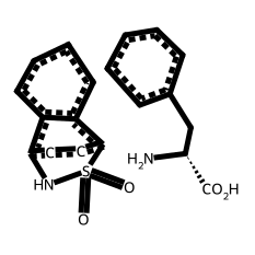 N[C@H](Cc1ccccc1)C(=O)O.O=S1(=O)Nc2ccc1c1ccccc21